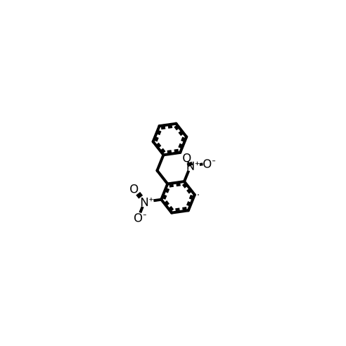 O=[N+]([O-])c1[c]ccc([N+](=O)[O-])c1Cc1ccccc1